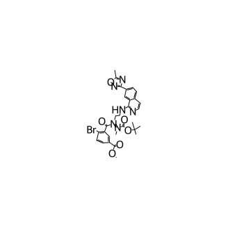 COC(=O)c1ccc(Br)c(C(=O)N(CCNc2nccc3ccc(-c4noc(C)n4)cc23)N(C)C(=O)OC(C)(C)C)c1